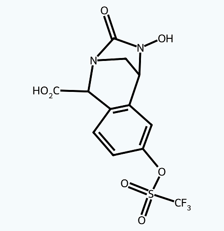 O=C(O)C1c2ccc(OS(=O)(=O)C(F)(F)F)cc2C2CN1C(=O)N2O